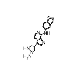 NN1C=C(c2cnc3c(Nc4ccc5sccc5c4)nccn23)CN1